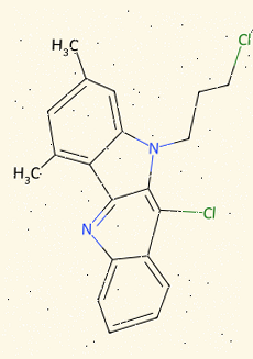 Cc1cc(C)c2c3nc4ccccc4c(Cl)c3n(CCCCl)c2c1